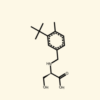 Cc1ccc(CN[C@H](CO)C(=O)O)cc1C(C)(C)C